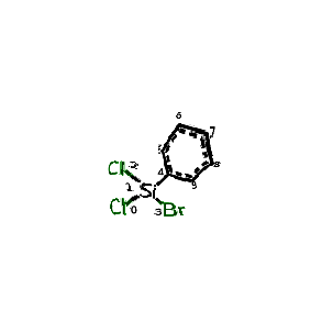 Cl[Si](Cl)(Br)c1ccccc1